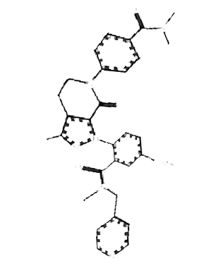 CCN(Cc1ccncc1)C(=O)c1cc(OC)ccc1-n1nc(C(F)(F)F)c2c1C(=O)N(c1ccc(C(=O)N(C)C)cc1)CC2